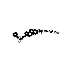 COCCOCCOCC(=O)OC1CCC2(C)C(CCC3C4CCC(CCCC(=O)OCc5ccccc5)C4(C)CCC32)C1